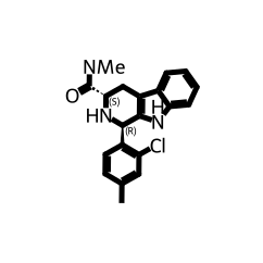 CNC(=O)[C@@H]1Cc2c([nH]c3ccccc23)[C@@H](c2ccc(C)cc2Cl)N1